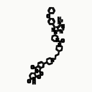 Nc1ncnc2c1c(-c1ccc(Oc3ccccc3)cc1)nn2C1CCCN(C(=O)N2CCC(CCCN3CCC(c4ccc5c(c4)C(=O)N(C4CCC(=O)NC4=O)C5=O)CC3)CC2)C1